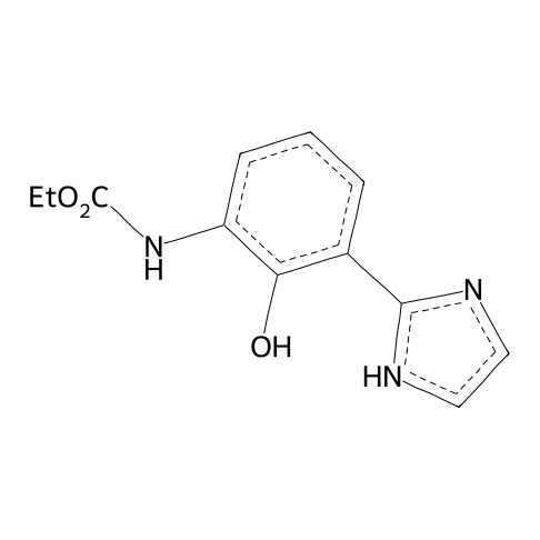 CCOC(=O)Nc1cccc(-c2ncc[nH]2)c1O